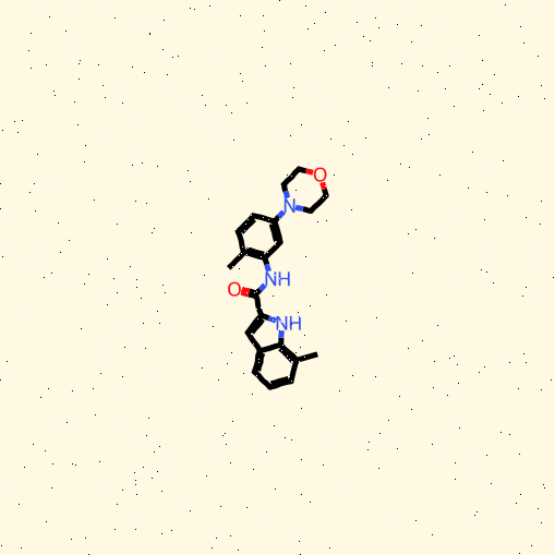 Cc1ccc(N2CCOCC2)cc1NC(=O)c1cc2cccc(C)c2[nH]1